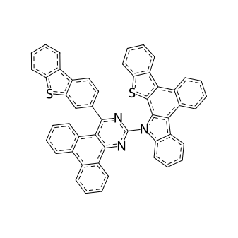 c1ccc2c(c1)sc1cc(-c3nc(-n4c5ccccc5c5c6ccccc6c6c7ccccc7sc6c54)nc4c5ccccc5c5ccccc5c34)ccc12